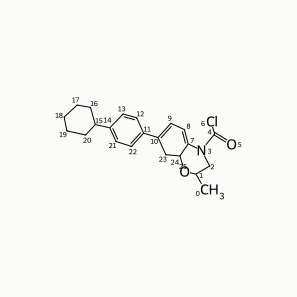 CC1CN(C(=O)Cl)C2=CC=C(c3ccc(C4CCCCC4)cc3)CC2O1